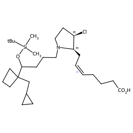 CC(C)(C)[Si](C)(C)OC(CCCN1CC[C@@H](Cl)[C@H]1C/C=C\CCCC(=O)O)C1(CC2CC2)CCC1